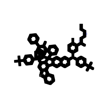 C=C/C=C\C=C(/C)c1cc(N(c2ccc(C(C)(C)C)cc2)c2ccc3cc4c(cc3c2)C2(c3ccccc3-c3ccccc32)c2c(N(c3ccc(C(C)(C)C)cc3)c3ccc(C)c(-c5ccccc5)c3)cc3oc5ccccc5c3c2-4)ccc1C